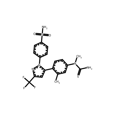 Cc1cc(N(C)C(N)=S)ccc1-c1cc(C(F)(F)F)nn1-c1ccc(S(N)(=O)=O)cc1